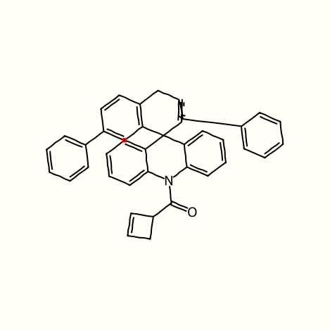 O=C(C1C=CC1)N1c2ccccc2C2(c3cc(-c4ccccc4)ccc3Cc3ccc(-c4ccccc4)cc32)c2ccccc21